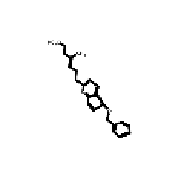 C/C(=C\CCc1ccc2cc(OCc3ccccc3)ccc2n1)CCC(=O)O